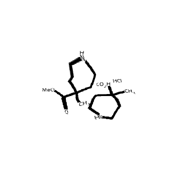 CC1(C(=O)O)CCNCC1.COC(=O)C1(C)CCNCC1.Cl